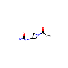 COC(=O)N1CC(NC(N)=O)C1